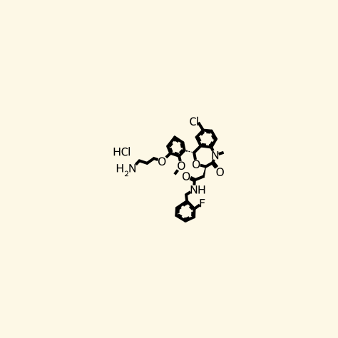 COc1c(OCCCN)cccc1[C@H]1O[C@H](CC(=O)NCc2ccccc2F)C(=O)N(C)c2ccc(Cl)cc21.Cl